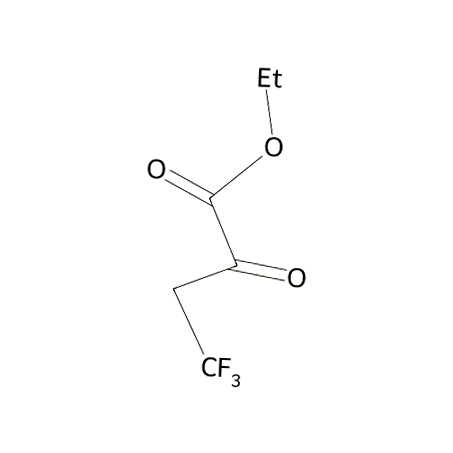 CCOC(=O)C(=O)CC(F)(F)F